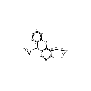 c1ccc(Oc2ccccc2C[C@H]2CO2)c(C[C@H]2CO2)c1